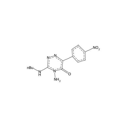 CCCCNc1nnc(-c2ccc([N+](=O)[O-])cc2)c(=O)n1N